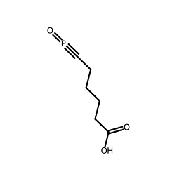 O=P#CCCCCC(=O)O